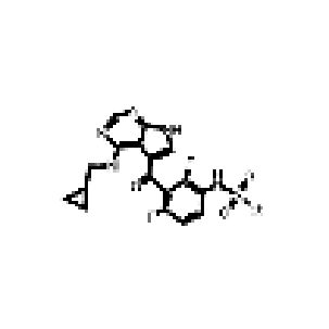 CCS(=O)(=O)Nc1ccc(F)c(C(=O)c2c[nH]c3ncnc(NCC4CC4)c23)c1F